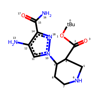 CC(C)(C)OC(=O)C1CNCCC1n1cc(N)c(C(N)=O)n1